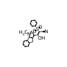 Cn1nc(/C(O)=C(/C#N)S(=O)(=O)c2ccccc2)c2c1-c1ccccc1C2